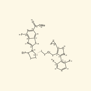 CCC1CC[C@@H](CCOCc2c(-c3c(F)cccc3F)noc2C2CC2)N1c1nc2c(F)cc(C(=O)OC)cc2s1